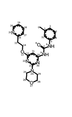 Cc1cccc(NC(=O)Nc2cc(OCCc3ccccn3)nc(N3CCOCC3)n2)c1